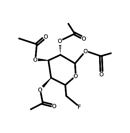 CC(=O)OC1OC(CF)[C@@H](OC(C)=O)[C@@H](OC(C)=O)[C@@H]1OC(C)=O